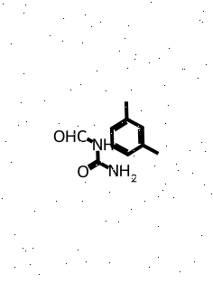 Cc1cccc(C)c1.NC(=O)NC=O